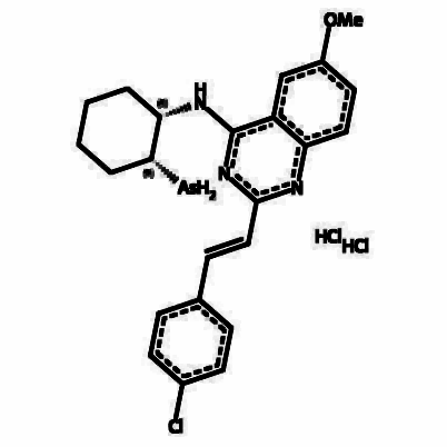 COc1ccc2nc(C=Cc3ccc(Cl)cc3)nc(N[C@H]3CCCC[C@H]3[AsH2])c2c1.Cl.Cl